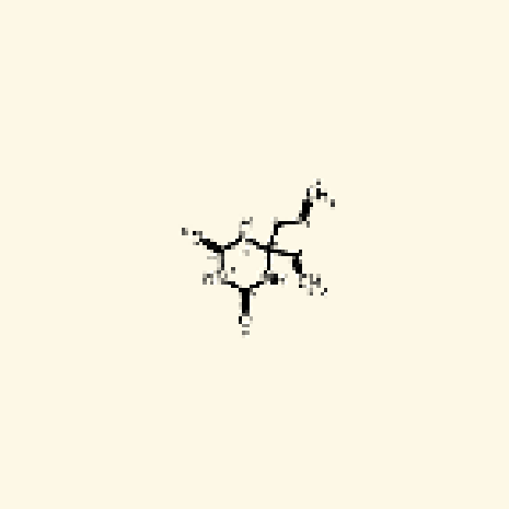 C=CCC1(C=C)NC(=O)NC(=O)N1